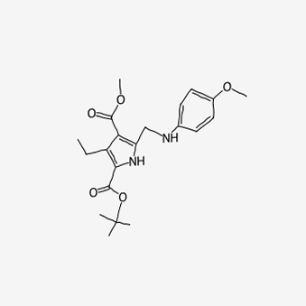 CCc1c(C(=O)OC(C)(C)C)[nH]c(CNc2ccc(OC)cc2)c1C(=O)OC